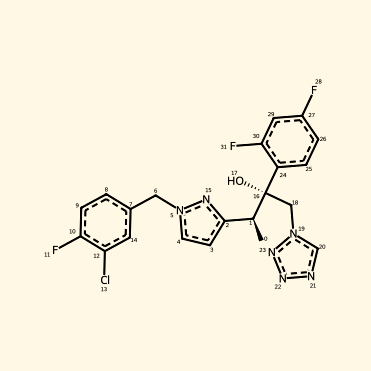 C[C@@H](c1ccn(Cc2ccc(F)c(Cl)c2)n1)[C@](O)(Cn1cnnn1)c1ccc(F)cc1F